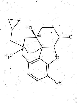 C[N+]1(CC2CC2)CCC23c4c5ccc(O)c4OC2C(=O)CC[C@@]3(O)C1C5